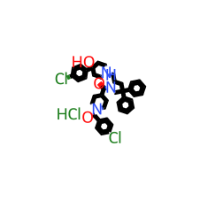 Cl.O=C(NCC(CCCN1CCC(O)(c2ccc(Cl)cc2)CC1)(c1ccccc1)c1ccccc1)C1CCN(C(=O)c2ccc(Cl)cc2)CC1